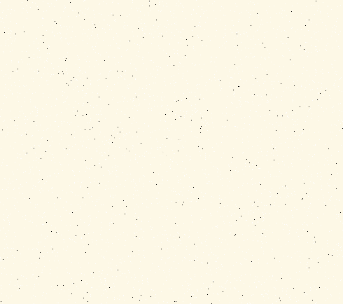 CCc1nnc(-n2c(C)c(C(=O)O)c3cccc(F)c3c2=O)s1